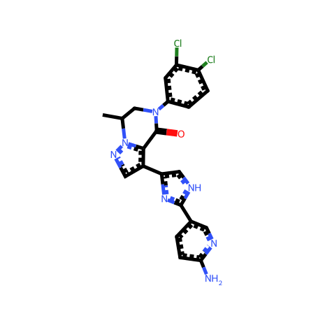 CC1CN(c2ccc(Cl)c(Cl)c2)C(=O)c2c(-c3c[nH]c(-c4ccc(N)nc4)n3)cnn21